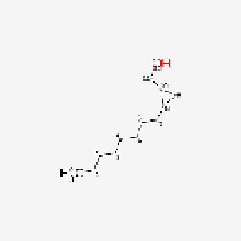 CCCCCCCCC1CC1CO